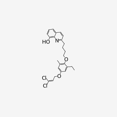 CCc1cc(OCC=C(Cl)Cl)cc(C)c1OCCCCc1ccc2cccc(O)c2n1